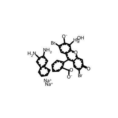 Nc1cc2ccccc2cc1N.O=C([O-])c1ccccc1-c1c2cc(Br)c(=O)cc-2oc2[c]([Hg][OH])c([O-])c(Br)cc12.[Na+].[Na+]